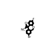 CC1C(C#N)C12c1ccc(Br)cc1COc1cc(F)ccc12